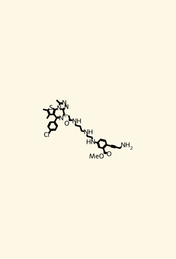 COC(=O)c1cc(NCCNCCCNC(=O)C[C@@H]2N=C(c3ccc(Cl)cc3)c3c(sc(C)c3C)-n3c(C)nnc32)ccc1C#CCN